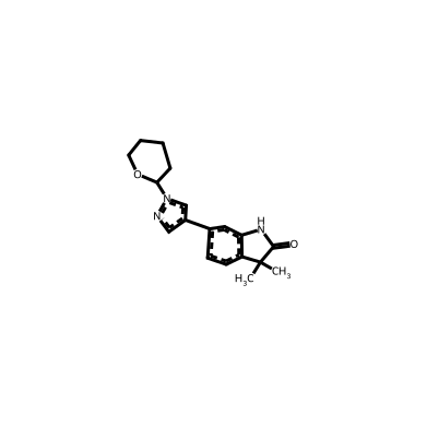 CC1(C)C(=O)Nc2cc(-c3cnn(C4CCCCO4)c3)ccc21